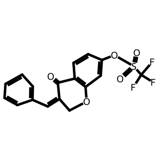 O=C1/C(=C\c2ccccc2)COc2cc(OS(=O)(=O)C(F)(F)F)ccc21